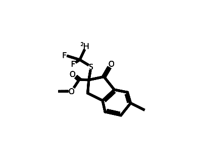 [2H]C(F)(F)SC1(C(=O)OC)Cc2ccc(C)cc2C1=O